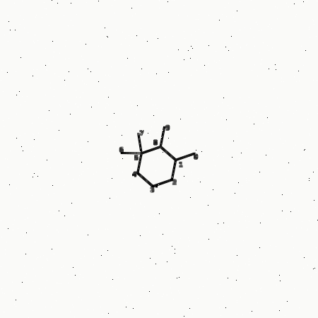 CC1C[CH]CC(C)(C)C1C